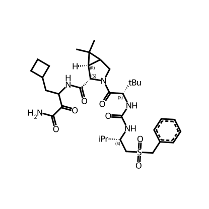 CC(C)[C@@H](CS(=O)(=O)Cc1ccccc1)NC(=O)N[C@H](C(=O)N1CC2[C@@H]([C@H]1C(=O)NC(CC1CCC1)C(=O)C(N)=O)C2(C)C)C(C)(C)C